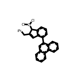 CC(C)CC1=Cc2c(-c3cc4ccccc4c4ccccc34)cccc2[CH]1[Zr]([Cl])[Cl]